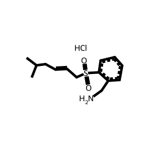 CC(C)CC=CCS(=O)(=O)c1ccccc1CN.Cl